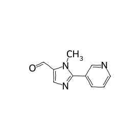 Cn1c(C=O)cnc1-c1cccnc1